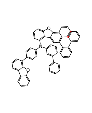 c1ccc(-c2cccc(N(c3ccc(-c4cccc5c4oc4ccccc45)cc3)c3cccc4oc5c6ccccc6c(-c6ccccc6-c6ccccc6)cc5c34)c2)cc1